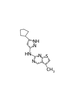 Cc1csc2nc(Nc3cc(C4CCCC4)[nH]n3)ncc12